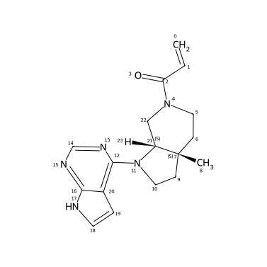 C=CC(=O)N1CC[C@]2(C)CCN(c3ncnc4[nH]ccc34)[C@@H]2C1